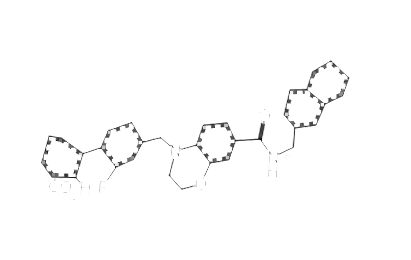 C[C@H](NC(=O)c1ccc2c(c1)OCCN2Cc1ccc(-c2ccccc2C(=O)O)c(F)c1)c1ccc2ccccc2c1